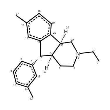 CCN1CC[C@H]2[C@H](c3cccc(C)c3)c3cc(C)ccc3[C@H]2C1